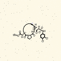 CC(C)(C)OC(=O)N[C@H]1CCCCC/C=C\[C@@H]2C[C@@]2(C(=O)NS(=O)(=O)Nc2ccc(Cl)c(Cl)c2)NC(=O)C2CCCN2C1=O